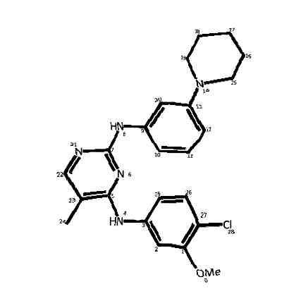 COc1cc(Nc2nc(Nc3cccc(N4CCCCC4)c3)ncc2C)ccc1Cl